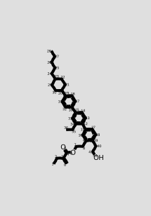 C=C(CC)C(=O)OCCc1cc(-c2ccc(-c3ccc(C4CCC(CCCCC)CC4)cc3)cc2CC)ccc1CCO